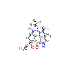 COC(=O)c1ccc(N2CCC3(CC2)CC3)c(/C(=C/N(C)C)c2cc[nH]c2C=O)c1